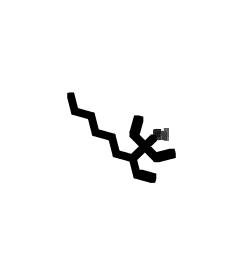 C=CC(CCCCCC)[C]([Sn])(C=C)C=C